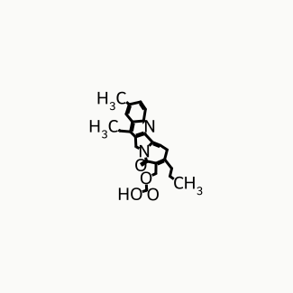 CCCC1=C(COC(=O)O)C(=O)N2Cc3c(nc4ccc(C)cc4c3CC)C2=CC1